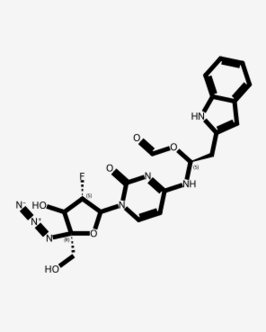 [N-]=[N+]=N[C@]1(CO)OC(n2ccc(N[C@H](Cc3cc4ccccc4[nH]3)OC=O)nc2=O)[C@@H](F)C1O